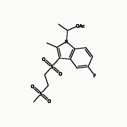 CC(=O)OC(C)n1c(C)c(S(=O)(=O)CCS(C)(=O)=O)c2cc(F)ccc21